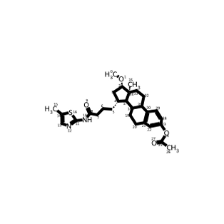 CO[C@H]1C[C@@H](CCCC(=O)Nc2ncc(C)s2)C2C3CCc4cc(OC(C)=O)ccc4C3CC[C@@]21C